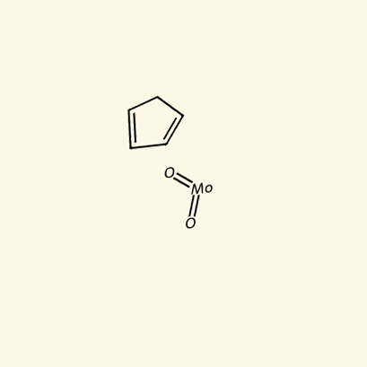 C1=CCC=C1.[O]=[Mo]=[O]